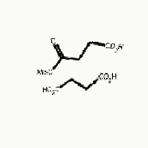 COC(=O)CCC(=O)O.O=C(O)CCC(=O)O